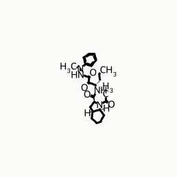 CCC[C@H](NC(=O)[C@@H]1C[C@@H]2CCCC[C@@H]2N1C(C)=O)C(=O)C(=O)NN(C)c1ccccc1